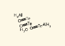 O.O=[Te].O=[Te].O=[Te].[AlH3].[AlH3]